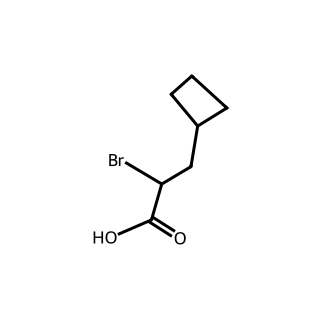 O=C(O)C(Br)CC1CCC1